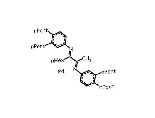 CCCCCCC(=N\c1ccc(CCCCC)c(CCCCC)c1)/C(C)=N/c1ccc(CCCCC)c(CCCCC)c1.[Pd]